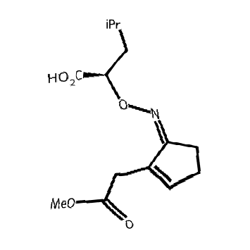 COC(=O)CC1=CCC/C1=N/O[C@H](CC(C)C)C(=O)O